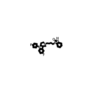 O=c1[nH]c2ccccc2n1CCCCN1CCC2C(C1)c1cc(F)ccc1N2c1ccc(F)cc1